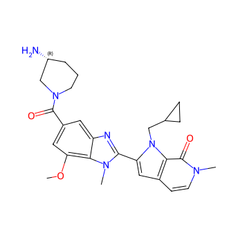 COc1cc(C(=O)N2CCC[C@@H](N)C2)cc2nc(-c3cc4ccn(C)c(=O)c4n3CC3CC3)n(C)c12